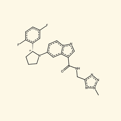 Cn1nnc(CNC(=O)c2cnn3ccc(N4CCC[C@@H]4c4cc(F)ccc4F)cc23)n1